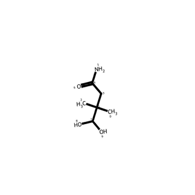 CC(C)(CC(N)=O)C(O)O